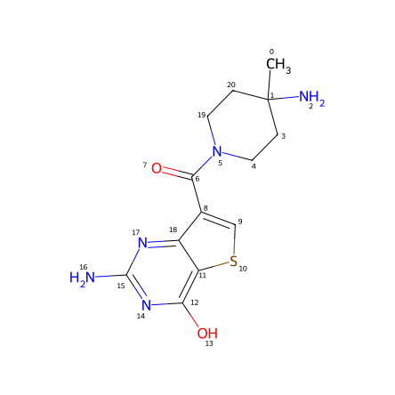 CC1(N)CCN(C(=O)c2csc3c(O)nc(N)nc23)CC1